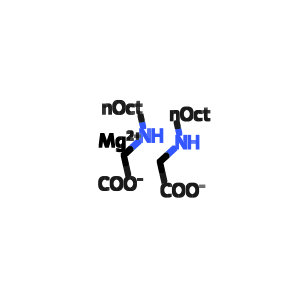 CCCCCCCCNCC(=O)[O-].CCCCCCCCNCC(=O)[O-].[Mg+2]